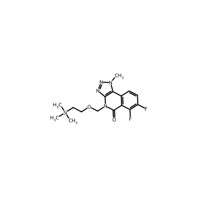 Cn1nnc2c1c1ccc(F)c(F)c1c(=O)n2COCC[Si](C)(C)C